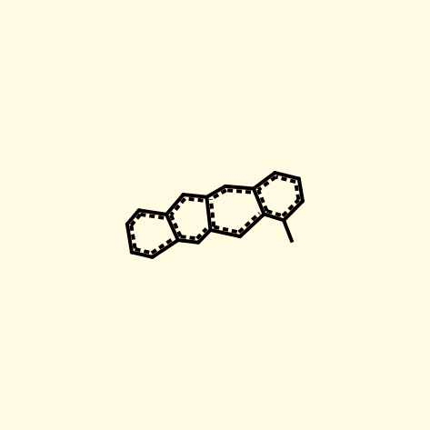 Cc1cccc2cc3cc4ccccc4cc3cc12